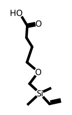 C=C[Si](C)(C)COCCCC(=O)O